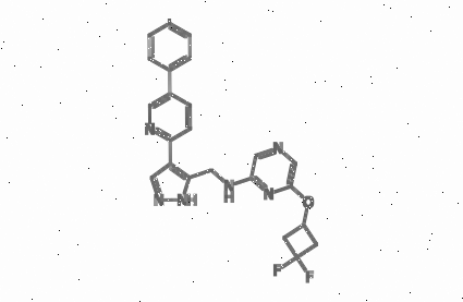 FC1(F)CC(Oc2cncc(NCc3[nH]ncc3-c3ccc(-c4cc[c]cc4)cn3)n2)C1